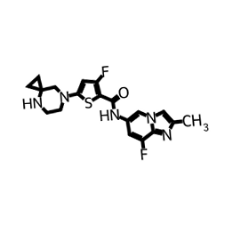 Cc1cn2cc(NC(=O)c3sc(N4CCNC5(CC5)C4)cc3F)cc(F)c2n1